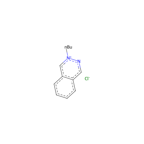 CCCC[n+]1cc2ccccc2cn1.[Cl-]